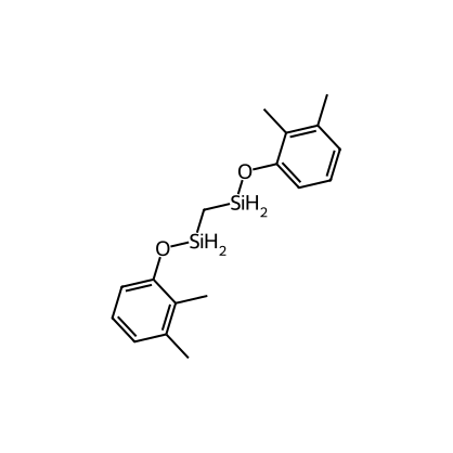 Cc1cccc(O[SiH2]C[SiH2]Oc2cccc(C)c2C)c1C